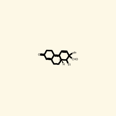 CCCC1(C=O)C=CC2=C3CCC(=O)C=C3CC[C@H]2C1CC